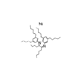 CCCCCC(=Nc1cc(CCCCC)cc(CCCCC)c1)C(CCCC)=Nc1cc(CCCCC)cc(CCCCC)c1.[Ni]